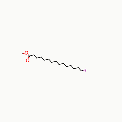 COC(=O)CCCCCCCCCCCCCCI